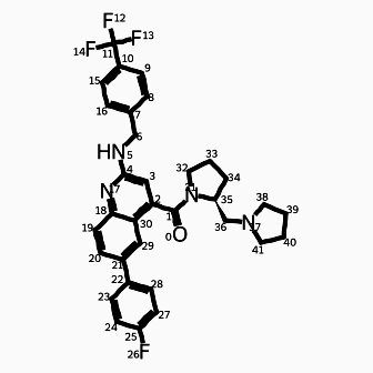 O=C(c1cc(NCc2ccc(C(F)(F)F)cc2)nc2ccc(-c3ccc(F)cc3)cc12)N1CCC[C@H]1CN1CCCC1